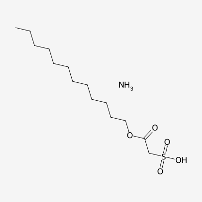 CCCCCCCCCCCCOC(=O)CS(=O)(=O)O.N